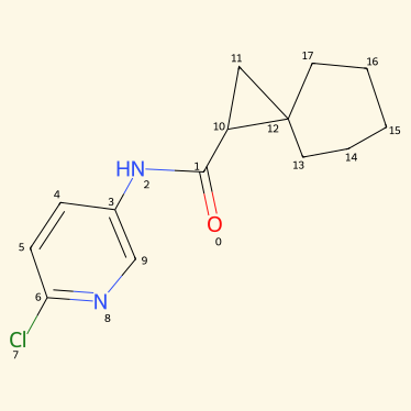 O=C(Nc1ccc(Cl)nc1)C1CC12CCCCC2